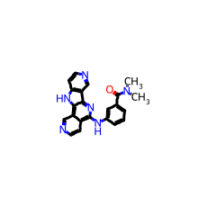 CN(C)C(=O)c1cccc(Nc2nc3c4cnccc4[nH]c3c3cnccc23)c1